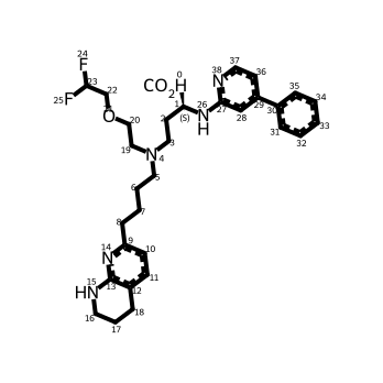 O=C(O)[C@H](CCN(CCCCc1ccc2c(n1)NCCC2)CCOCC(F)F)Nc1cc(-c2ccccc2)ccn1